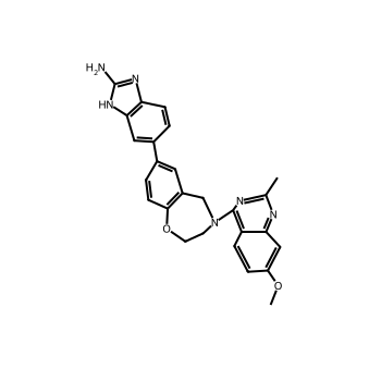 COc1ccc2c(N3CCOc4ccc(-c5ccc6nc(N)[nH]c6c5)cc4C3)nc(C)nc2c1